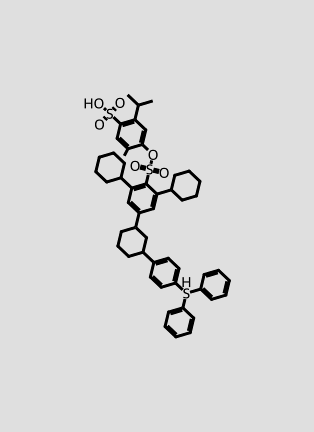 Cc1cc(S(=O)(=O)O)c(C(C)C)cc1OS(=O)(=O)c1c(C2CCCCC2)cc(C2CCCC(c3ccc([SH](c4ccccc4)c4ccccc4)cc3)C2)cc1C1CCCCC1